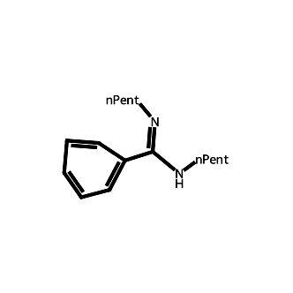 CCCCC/N=C(/NCCCCC)c1ccccc1